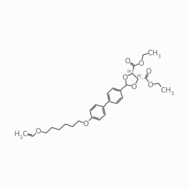 C=COCCCCCCOc1ccc(-c2ccc(C3O[C@@H](C(=O)OCC)[C@H](C(=O)OCC)O3)cc2)cc1